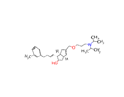 Cc1cccc(CC/C=C/[C@@H]2[C@H]3CC(COCCCN(C(C)C)C(C)C)=C[C@H]3C[C@H]2O)c1